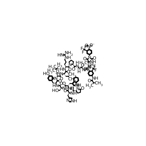 CC(C)C(=O)Nc1ccc([N+](=O)[O-])c(C(F)(F)F)c1.CC(C)C[C@H](NC(=O)[C@@H](COC(C)(C)C)NC(=O)[C@H](Cc1ccc(O)cc1)NC(=O)[C@H](CO)NC(=O)[C@H](Cc1c[nH]c2ccccc12)NC(=O)[C@H](Cc1c[nH]cn1)NC(=O)[C@@H]1CCC(=O)N1)C(=O)N[C@@H](CCCNC(=N)N)C(=O)N1CCC[C@H]1C(=O)NNC(N)=O.CC1(C)NC(=O)N(c2ccc([N+](=O)[O-])c(C(F)(F)F)c2)C1=O